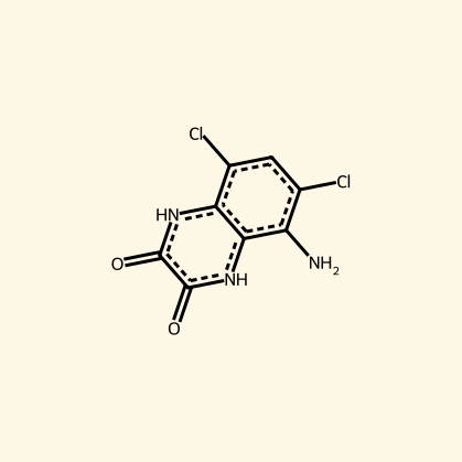 Nc1c(Cl)cc(Cl)c2[nH]c(=O)c(=O)[nH]c12